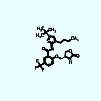 CCCCc1cn(C(C)(C)C)sc1=NC(=O)c1cc(C(F)(F)F)ccc1OC[C@@H]1COC(=O)N1